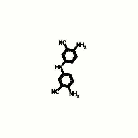 N#Cc1cc(Nc2ccc(N)c(C#N)c2)ccc1N